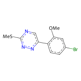 COc1cc(Br)ccc1-c1cnc(SC)nn1